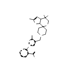 Cc1nn(-c2ncccc2C(N)=O)cc1CN1CCC2(CC1)OCC(F)(F)C1C=C(Cl)SC12